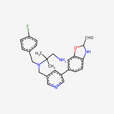 CC(C)(CN)N(Cc1ccc(F)cc1)Cc1cncc(-c2ccc3c(c2)OC(C=O)N3)c1